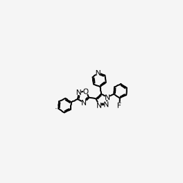 Fc1ccccc1-n1nnc(-c2nc(-c3cc[c]cc3)no2)c1-c1ccncc1